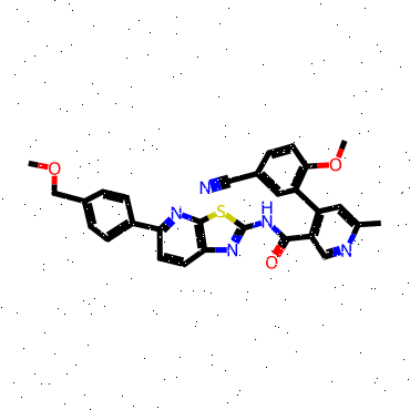 COCc1ccc(-c2ccc3nc(NC(=O)c4cnc(C)cc4-c4cc(C#N)ccc4OC)sc3n2)cc1